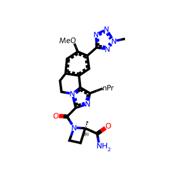 CCCc1nc(C(=O)N2CC[C@]2(C)C(N)=O)n2c1-c1cc(-c3nnn(C)n3)c(OC)cc1CC2